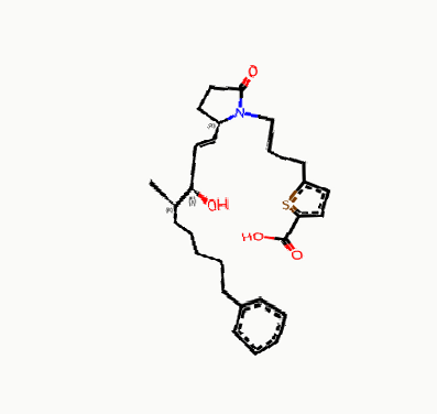 C[C@H](CCCCCc1ccccc1)[C@H](O)C=C[C@H]1CCC(=O)N1CCCc1ccc(C(=O)O)s1